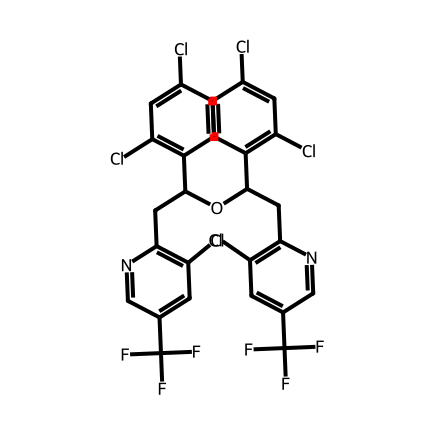 FC(F)(F)c1cnc(CC(OC(Cc2ncc(C(F)(F)F)cc2Cl)c2ccc(Cl)cc2Cl)c2ccc(Cl)cc2Cl)c(Cl)c1